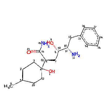 CC1CCC(O)([C@H](C[C@H](O)[C@@H](N)Cc2ccccc2)C(N)=O)CC1